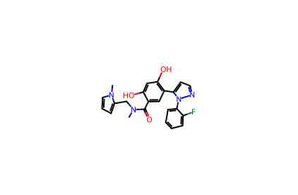 CN(Cc1cccn1C)C(=O)c1cc(-c2ccnn2-c2ccccc2F)c(O)cc1O